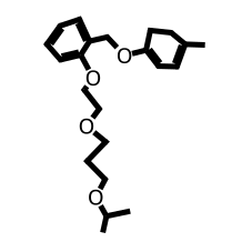 CC1=CC=C(OCc2ccccc2OCCOCCCOC(C)C)CC1